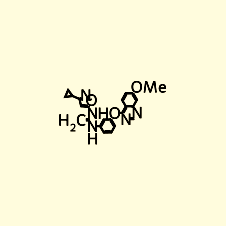 C=C(Nc1cccc(Oc2ncnc3cc(OC)ccc23)c1)Nc1cc(C2CC2)no1